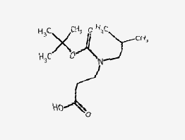 CC(C)CN(CCC(=O)O)C(=O)OC(C)(C)C